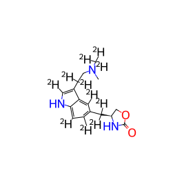 [2H]c1[nH]c2c([2H])c([2H])c(C([2H])([2H])[C@H]3COC(=O)N3)c([2H])c2c1C([2H])([2H])CN(C)C([2H])([2H])[2H]